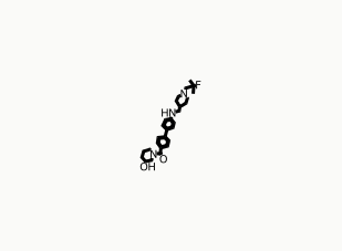 CC(C)(F)CN1CCC(CNc2ccc(-c3ccc(C(=O)N4CCCC(O)C4)cc3)cc2)CC1